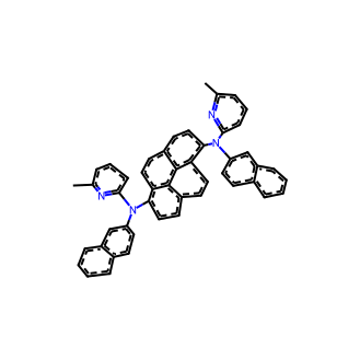 Cc1cccc(N(c2ccc3ccccc3c2)c2ccc3ccc4c(N(c5ccc6ccccc6c5)c5cccc(C)n5)ccc5ccc2c3c54)n1